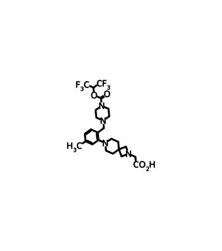 Cc1ccc(CN2CCN(C(=O)OC(C(F)(F)F)C(F)(F)F)CC2)c(N2CCC3(CC2)CN(CC(=O)O)C3)c1